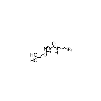 CCC(C)CCCNC(=O)c1cnc(OCCC(O)O)s1